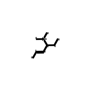 CC=CC(CC)N(C)C